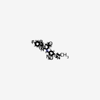 Cc1cn(-c2ccc(/C=C3\CC4(COC4)CN4C3=NOC4(CO)c3ccc(F)cc3)c3ncoc23)cn1